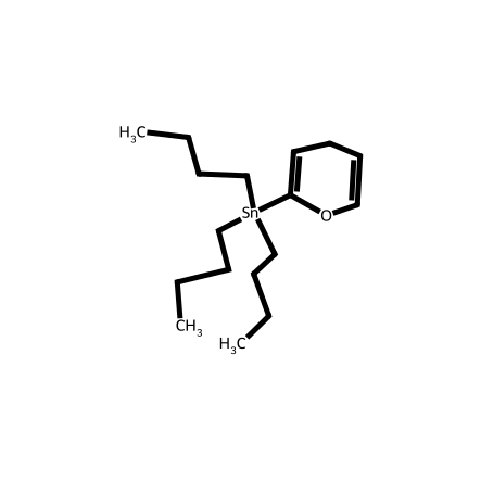 CCC[CH2][Sn]([CH2]CCC)([CH2]CCC)[C]1=CCC=CO1